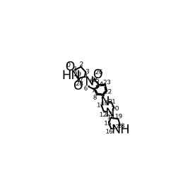 O=C1CC[C@H](N2Cc3cc(N4CCN(C5CCNCC5)CC4)ccc3C2=O)C(=O)N1